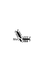 COCCOC.FC(F)C(F)(F)C(F)(F)C(F)(F)COCC(F)(F)C(F)(F)C(F)(F)C(F)F